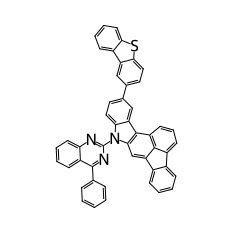 c1ccc(-c2nc(-n3c4ccc(-c5ccc6sc7ccccc7c6c5)cc4c4c5cccc6c5c(cc43)-c3ccccc3-6)nc3ccccc23)cc1